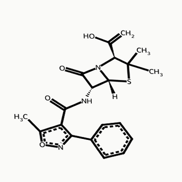 C=C(O)[C@@H]1N2C(=O)[C@@H](NC(=O)c3c(-c4ccccc4)noc3C)[C@H]2SC1(C)C